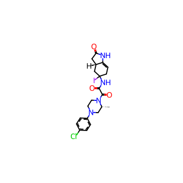 C[C@@H]1CN(c2ccc(Cl)cc2)CCN1C(=O)C(=O)NC1(I)CC=C2NC(=O)C[C@H]2C1